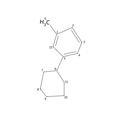 Cc1cccc(C2C[CH]CCC2)c1